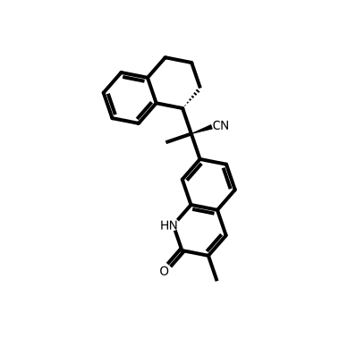 Cc1cc2ccc([C@@](C)(C#N)[C@H]3CCCc4ccccc43)cc2[nH]c1=O